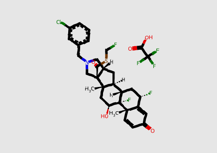 C[C@]12C=CC(=O)C=C1[C@@H](F)C[C@H]1[C@@H]3C[C@H]4CN(Cc5cccc(Cl)c5)C[C@@]4(C(=O)SCF)[C@@]3(C)C[C@H](O)[C@@]12F.O=C(O)C(F)(F)F